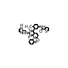 Cc1ccc(NC(=O)c2cccs2)cc1-c1nc(NCc2ncc[nH]2)nc2c1ccc(=O)n2-c1c(F)cccc1F